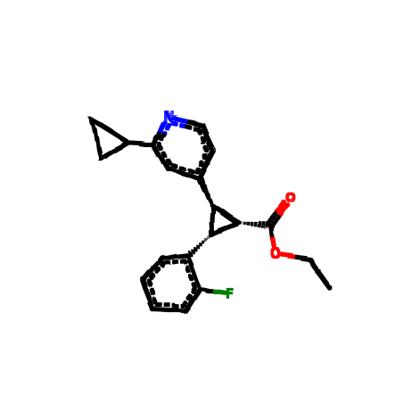 CCOC(=O)[C@H]1[C@H](c2ccnc(C3CC3)c2)[C@H]1c1ccccc1F